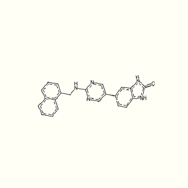 O=c1[nH]c2ccc(-c3cnc(NCc4cccc5ccccc45)nc3)cc2[nH]1